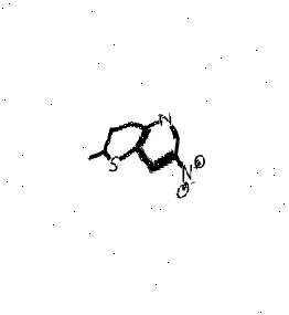 CC1CCc2ncc([N+](=O)[O-])cc2S1